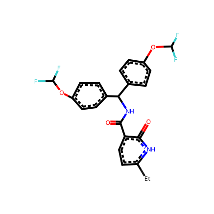 CCc1ccc(C(=O)NC(c2ccc(OC(F)F)cc2)c2ccc(OC(F)F)cc2)c(=O)[nH]1